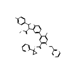 CNC(=O)C1c2cc(-c3cc(C(=O)NC4(c5ccccn5)CC4)c(OCc4cnccn4)cc3C)ccc2OC1c1ccc(F)cc1